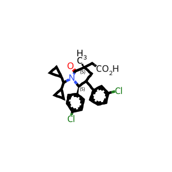 C[C@@]1(CC(=O)O)CC(c2cccc(Cl)c2)[C@@H](c2ccc(Cl)cc2)N(C(C2CC2)C2CC2)C1=O